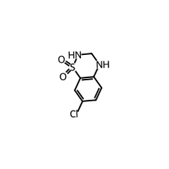 O=S1(=O)NCNc2ccc(Cl)cc21